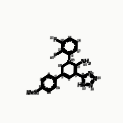 CSc1ccc(C2=CC(c3nnn[nH]3)=C(N)N(c3cccc(F)c3F)C2)cc1